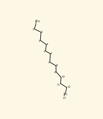 FCCCCCCCCCCCC[P]